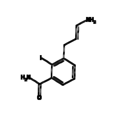 NC=CCc1cccc(C(N)=O)c1I